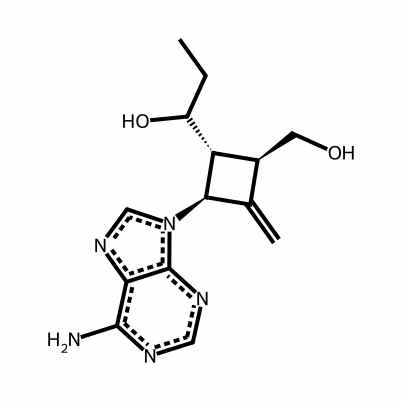 C=C1[C@@H](n2cnc3c(N)ncnc32)[C@H](C(O)CC)[C@H]1CO